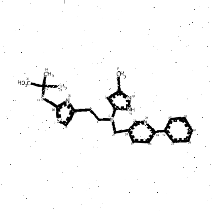 Cc1cc(N(CCc2csc(SC(C)(C)C(=O)O)n2)Cc2ccc(-c3ccccc3)nc2)[nH]n1